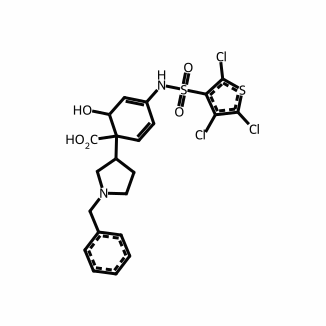 O=C(O)C1(C2CCN(Cc3ccccc3)C2)C=CC(NS(=O)(=O)c2c(Cl)sc(Cl)c2Cl)=CC1O